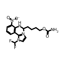 CC(CCCCOC(N)=O)Nc1c(-c2nccn2C(F)F)cccc1[N+](=O)[O-]